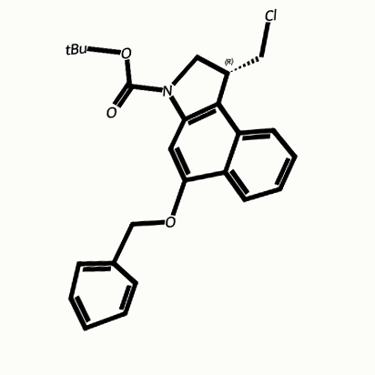 CC(C)(C)OC(=O)N1C[C@H](CCl)c2c1cc(OCc1ccccc1)c1ccccc21